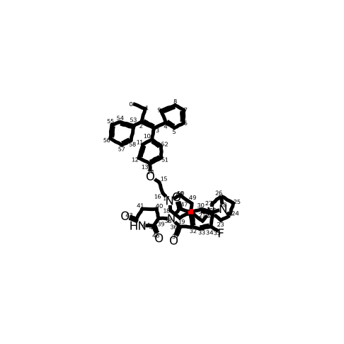 CCC(=C(c1ccccc1)c1ccc(OCCN2CCC(CN3CC4CC(C3)N4c3cc4c(cc3F)C(=O)N(C3CCC(=O)NC3=O)C4=O)CC2)cc1)c1ccccc1